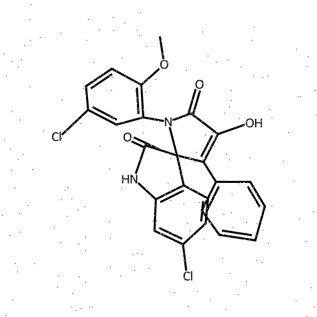 COc1ccc(Cl)cc1N1C(=O)C(O)=C(c2ccccc2)C12C(=O)Nc1cc(Cl)ccc12